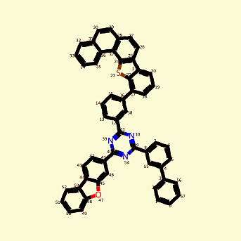 c1ccc(-c2cccc(-c3nc(-c4cccc(-c5cccc6c5sc5c6ccc6ccc7ccccc7c65)c4)nc(-c4ccc5c(c4)oc4ccccc45)n3)c2)cc1